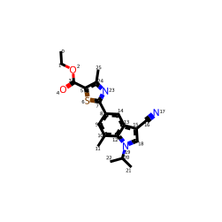 CCOC(=O)c1sc(-c2cc(C)c3c(c2)c(C#N)cn3C(C)C)nc1C